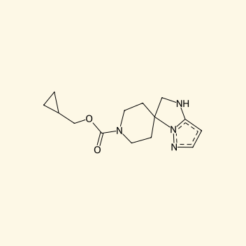 O=C(OCC1CC1)N1CCC2(CC1)CNc1ccnn12